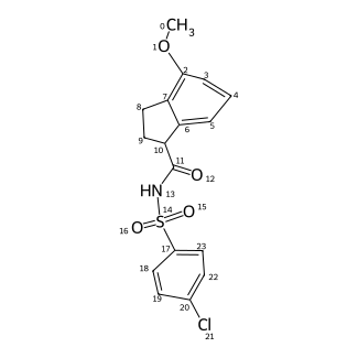 COc1cccc2c1CCC2C(=O)NS(=O)(=O)c1ccc(Cl)cc1